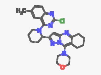 Cc1ccc2nc(Cl)nc(N3CCCCC3c3cc4nc5c(c(N6CCOCC6)n4n3)CCCC5)c2c1